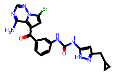 Nc1ncnn2c(Br)cc(C(=O)c3cccc(NC(=O)Nc4cc(CC5CC5)n[nH]4)c3)c12